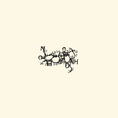 C=CC(=O)N[C@@]12CCC(C)(C)C[C@@H]1[C@H]1C(=O)C=C3[C@]4(C)C=C(C#N)C(=O)C(C)(C)[C@@H]4CC[C@@]3(C)[C@]1(C)CC2